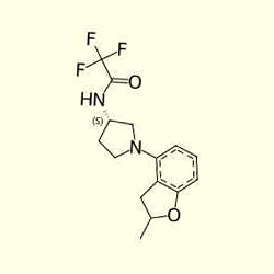 CC1Cc2c(cccc2N2CC[C@H](NC(=O)C(F)(F)F)C2)O1